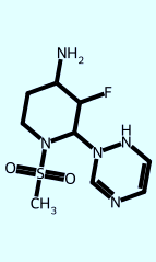 CS(=O)(=O)N1CCC(N)C(F)C1N1C=NC=CN1